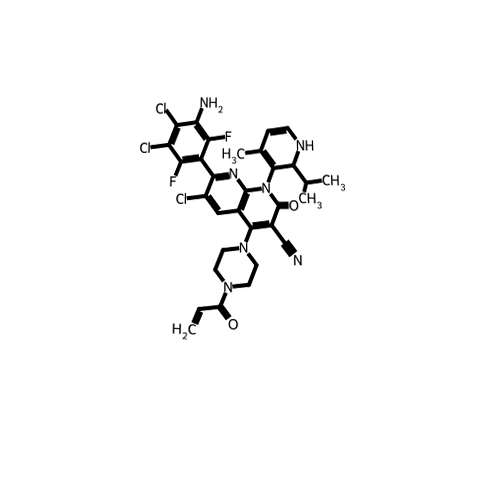 C=CC(=O)N1CCN(c2c(C#N)c(=O)n(C3=C(C)C=CNC3C(C)C)c3nc(-c4c(F)c(N)c(Cl)c(Cl)c4F)c(Cl)cc23)CC1